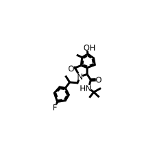 Cc1c(O)ccc2c1C(=O)N(CC(C)c1ccc(F)cc1)C2C(=O)NC(C)(C)C